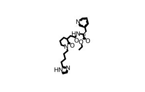 CCOC(=O)[C@H](Cc1cccnc1)NC(=O)CC1CCCN(CCCCc2ncc[nH]2)C1=O